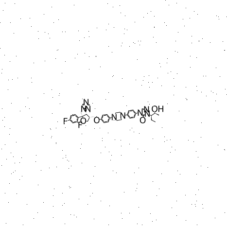 CC[C@H]([C@H](C)O)n1ncn(-c2ccc(N3CCN(c4ccc(OC[C@@H]5CO[C@@](Cn6cncn6)(c6ccc(F)cc6F)C5)cc4)CC3)cc2)c1=O